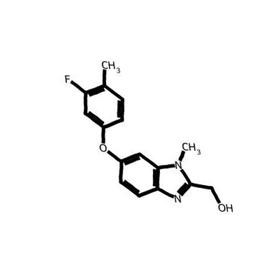 Cc1ccc(Oc2ccc3nc(CO)n(C)c3c2)cc1F